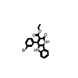 CCOC(=O)c1c(-c2cccc(Br)c2)c2[nH]c3ccccc3c2[nH]c1=O